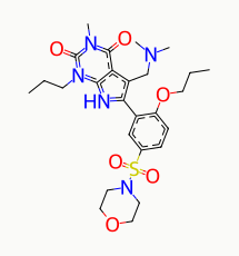 CCCOc1ccc(S(=O)(=O)N2CCOCC2)cc1-c1[nH]c2c(c1CN(C)C)c(=O)n(C)c(=O)n2CCC